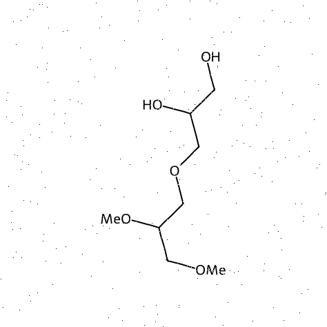 COCC(COCC(O)CO)OC